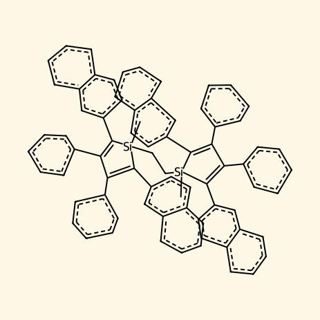 C[Si]1(CC[Si]2(C)C(c3ccc4ccccc4c3)=C(c3ccccc3)C(c3ccccc3)=C2c2ccc3ccccc3c2)C(c2ccc3ccccc3c2)=C(c2ccccc2)C(c2ccccc2)=C1c1ccc2ccccc2c1